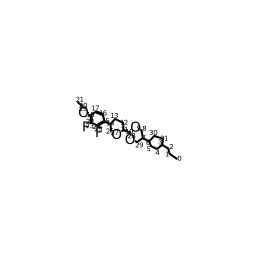 CCCC1CCC(C2COC(C3CCC(c4ccc(OCC)c(F)c4F)CO3)OC2)CC1